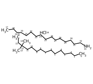 CCCCCCCCCCCCC(C)(C)CC.CCCCCCCCCCCCCCCCN.Cl